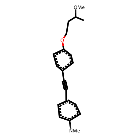 CNc1ccc(C#Cc2ccc(OCCC(C)OC)cc2)cc1